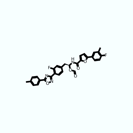 Cc1ccc(-c2nc(-c3ccc(C[C@@H](NC(=O)c4ccc(-c5ccc(F)c(C)c5)o4)OC=O)cc3F)no2)cc1